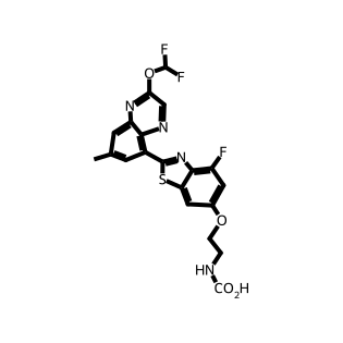 Cc1cc(-c2nc3c(F)cc(OCCNC(=O)O)cc3s2)c2ncc(OC(F)F)nc2c1